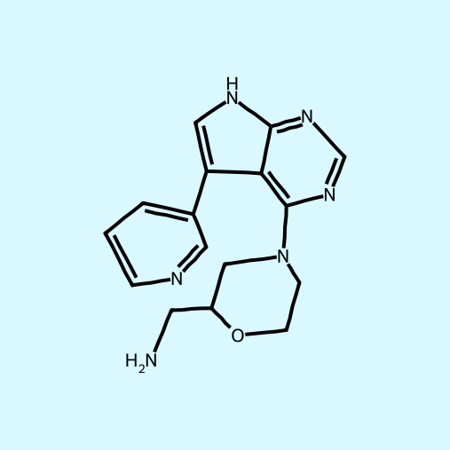 NCC1CN(c2ncnc3[nH]cc(-c4cccnc4)c23)CCO1